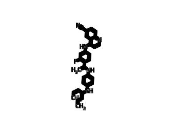 C=C/C=C(\C=C/C)Nc1ccc(NC(=C)c2ccc(Nc3ccnc4ccc(C#N)cc34)cc2F)cc1